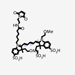 COCCN1/C(=C/C=C/C=C/C2=[N+](CCCCCC(=O)NCCN3C(=O)C=CC3=O)c3ccc(S(=O)(=O)O)cc3C2(C)CCOC)C(C)(CCCS(=O)(=O)O)c2cc(S(=O)(=O)O)ccc21